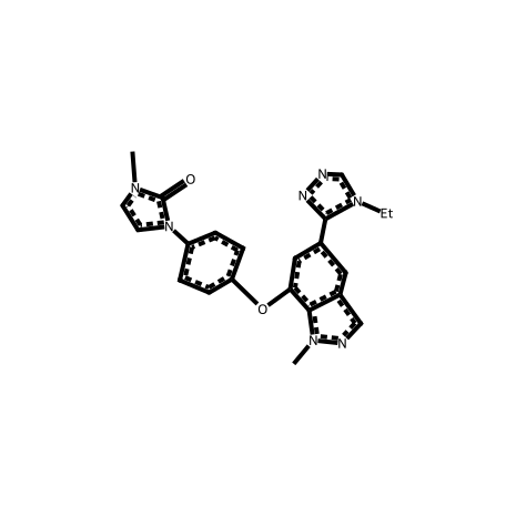 CCn1cnnc1-c1cc(Oc2ccc(-n3ccn(C)c3=O)cc2)c2c(cnn2C)c1